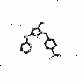 Nc1nc(Nc2ccccn2)nn1Cc1ccc([N+](=O)[O-])cc1